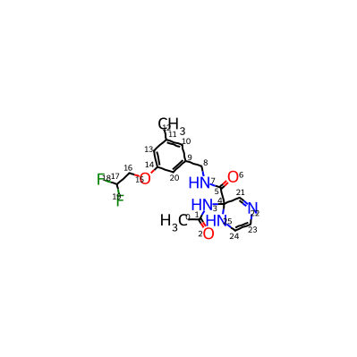 CC(=O)NC1(C(=O)NCc2cc(C)cc(OCC(F)F)c2)C=NC=CN1